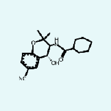 CC1(C)Oc2ccc(C#N)cc2[C@@H](O)[C@@H]1NC(=O)C1CCCCC1